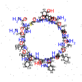 CCCC[C@H]1C(=O)N(C)[C@@H](CCCC)C(=O)N[C@@H](CCCN)C(=O)N[C@H](C(=O)NCC(N)=O)CSCC(=O)N[C@@H](Cc2ccc(O)cc2)C(=O)N(C)[C@@H](C)C(=O)N[C@@H](CC(N)=O)C(=O)N2CCC[C@H]2C(=O)N[C@@H](CN)C(=O)N[C@@H](CC(C)C)C(=O)N2C[C@@H](c3ccccc3)C[C@H]2C(=O)N[C@@H](Cc2c[nH]c3ccccc23)C(=O)N[C@@H](CO)C(=O)N[C@@H](Cc2c[nH]c3ccccc23)C(=O)N1C